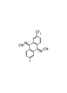 [C-]#[N+]/N=C1\c2ccc(C)cc2/C(=N/C#N)c2ccc(C(F)(F)F)cc21